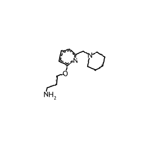 NCCCOc1cccc(CN2CCCCC2)n1